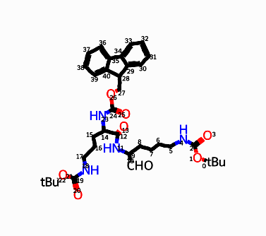 CC(C)(C)OC(=O)NCCCCC(C=O)NC(=O)C(CCCNC(=O)OC(C)(C)C)NC(=O)OCC1c2ccccc2-c2ccccc21